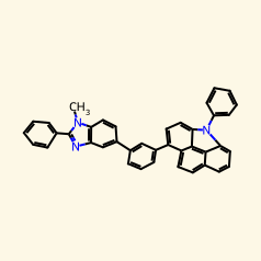 Cn1c(-c2ccccc2)nc2cc(-c3cccc(-c4ccc5c6c4ccc4cccc(c46)n5-c4ccccc4)c3)ccc21